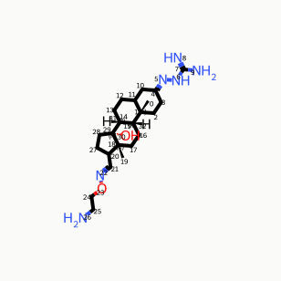 C[C@]12CCC(=NNC(=N)N)CC1CC[C@@H]1[C@H]2CC[C@]2(C)C(C=NOCCN)CC[C@@]12O